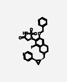 O=C1CN(c2c(OCc3ccccc3)cc3c(c2F)CN(C[C@@H]2C[C@H]2c2ccncc2)CC3)S(=O)(=O)N1